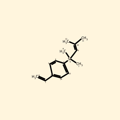 C=Cc1ccc([Si](C)(C)C=C(C)C)cc1